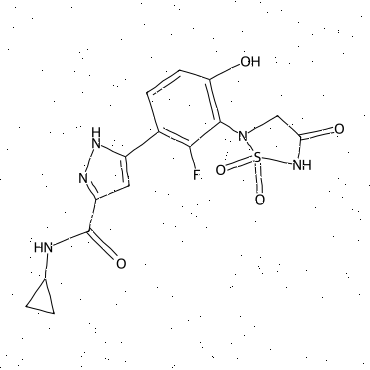 O=C1CN(c2c(O)ccc(-c3cc(C(=O)NC4CC4)n[nH]3)c2F)S(=O)(=O)N1